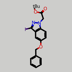 CC(C)(C)OC(=O)Cn1nc(I)c2cc(OCc3ccccc3)ccc21